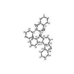 c1ccc(-c2nc3ccccc3nc2-n2c3ccccc3c3c4c(ccc32)sc2ccccc24)cc1